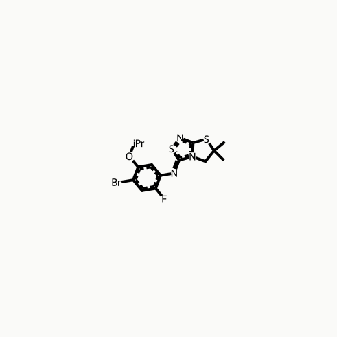 CC(C)Oc1cc(N=c2snc3n2CC(C)(C)S3)c(F)cc1Br